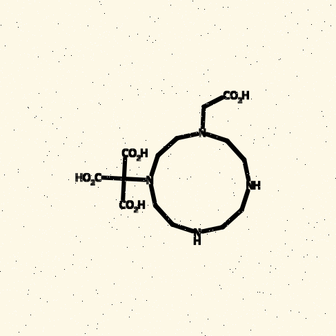 O=C(O)CN1CCNCCNCCN(C(C(=O)O)(C(=O)O)C(=O)O)CC1